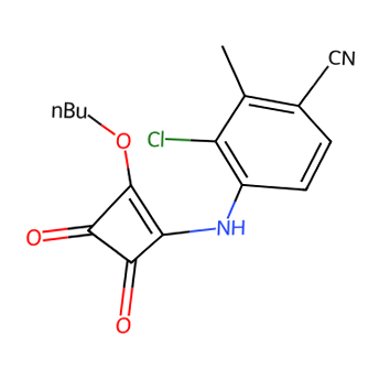 CCCCOc1c(Nc2ccc(C#N)c(C)c2Cl)c(=O)c1=O